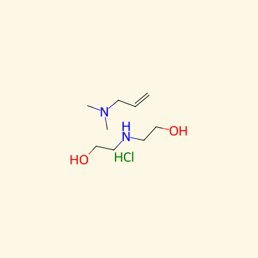 C=CCN(C)C.Cl.OCCNCCO